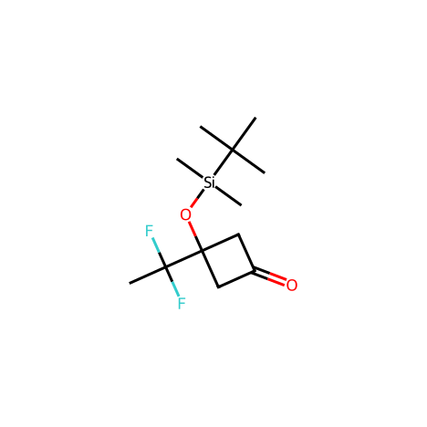 CC(F)(F)C1(O[Si](C)(C)C(C)(C)C)CC(=O)C1